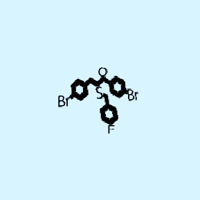 O=C(C(=Cc1ccc(Br)cc1)SCc1ccc(F)cc1)c1ccc(Br)cc1